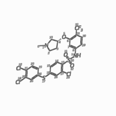 CN1CC[C@@H](Oc2cc(NS(=O)(=O)c3ccc(Sc4ccc(Cl)c(Cl)c4)cc3Cl)ccc2C(F)(F)F)C1